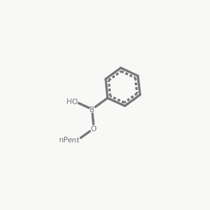 CCCCCOB(O)c1ccccc1